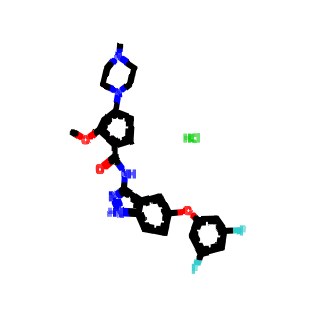 COc1cc(N2CCN(C)CC2)ccc1C(=O)Nc1n[nH]c2ccc(Oc3cc(F)cc(F)c3)cc12.Cl